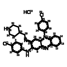 Cl.Clc1ccc(Nc2cc3nc4ccccc4n(-c4ccc(Cl)cc4)c-3cc2=NCC2CCNCC2)cc1